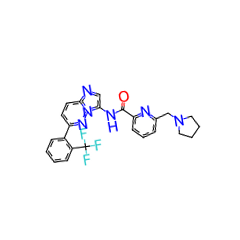 O=C(Nc1cnc2ccc(-c3ccccc3C(F)(F)F)nn12)c1cccc(CN2CCCC2)n1